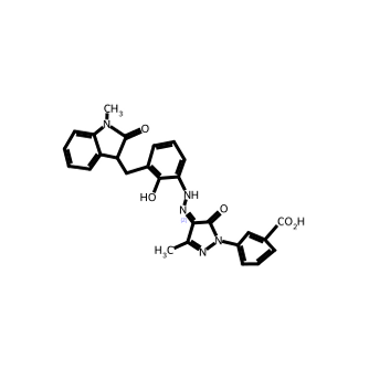 CC1=NN(c2cccc(C(=O)O)c2)C(=O)/C1=N\Nc1cccc(CC2C(=O)N(C)c3ccccc32)c1O